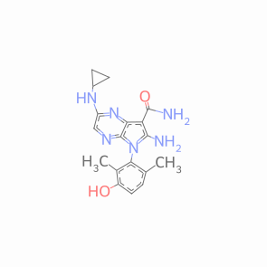 Cc1ccc(O)c(C)c1-n1c(N)c(C(N)=O)c2nc(NC3CC3)cnc21